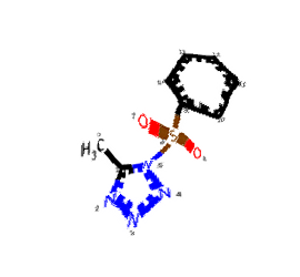 Cc1nnnn1S(=O)(=O)c1ccccc1